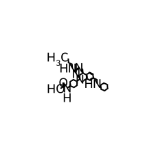 CCCCNc1ncc2c(n1)N(C1CCC(NC(=O)O)CC1)Cc1cc(CNC3CCCCC3)ccc1-2